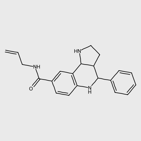 C=CCNC(=O)c1ccc2c(c1)C1NCCC1C(c1ccccc1)N2